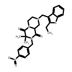 CCc1sc2ccccc2c1CN1CCN2C(=O)C(C)(C)N(Cc3ccc([N+](=O)[O-])cc3)C(=O)C2C1